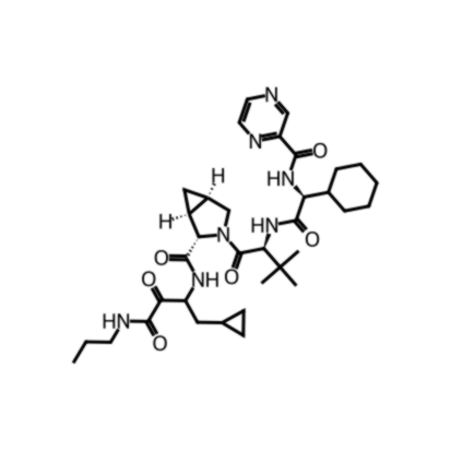 CCCNC(=O)C(=O)C(CC1CC1)NC(=O)[C@@H]1[C@H]2C[C@H]2CN1C(=O)[C@@H](NC(=O)[C@@H](NC(=O)c1cnccn1)C1CCCCC1)C(C)(C)C